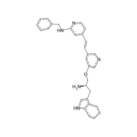 N[C@@H](COc1cncc(C=Cc2ccnc(NCc3ccccc3)c2)c1)Cc1c[nH]c2ccccc12